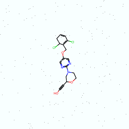 OC#CC1CN(c2ncc(OCC3=C(Cl)C=CCC3Cl)cn2)CCO1